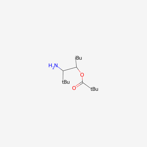 CCC(C)C(OC(=O)C(C)(C)C)C(N)C(C)(C)C